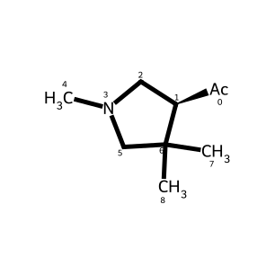 CC(=O)[C@@H]1CN(C)CC1(C)C